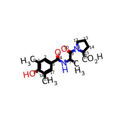 Cc1cc(C(=O)NC(C)C(=O)N2CCCC2C(=O)O)cc(C)c1O